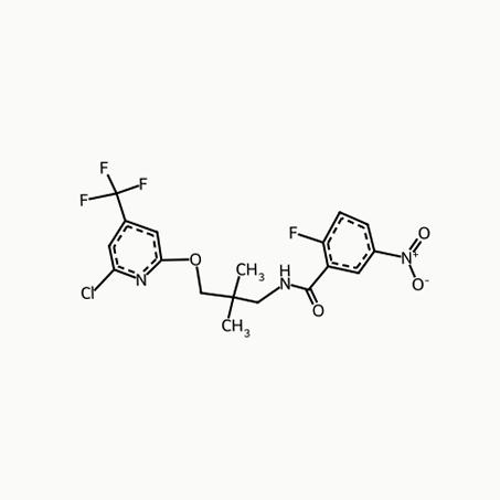 CC(C)(CNC(=O)c1cc([N+](=O)[O-])ccc1F)COc1cc(C(F)(F)F)cc(Cl)n1